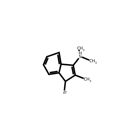 CC1=C([SiH](C)C)c2ccccc2[CH]1[Zr]